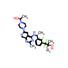 Cc1nc(N[C@H](C)c2cccc(C(F)(F)C(C)(C)O)c2F)c2cc(N3CCN(C(C)O)CC3)ncc2n1